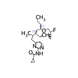 C=C/C(=C\C(=C/CC)OCC(F)F)C(C)Cc1ccnc(NC(=O)C2CC2)n1